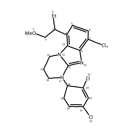 CCC(COC)c1ccc(Cl)c2nc3n(c12)CCCN3C1CC=C(Cl)C=C1Cl